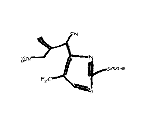 C=C(CC(C)(C)C)C(C#N)c1nc(SC)ncc1C(F)(F)F